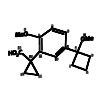 COc1ccc(C2(OC)CCC2)cc1C1(C(=O)O)CC1